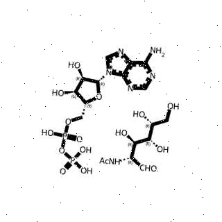 CC(=O)N[C@@H](C=O)[C@@H](O)[C@@H](O)[C@H](O)CO.Nc1ncnc2c1ncn2[C@@H]1O[C@H](COP(=O)(O)OP(=O)(O)O)[C@@H](O)[C@H]1O